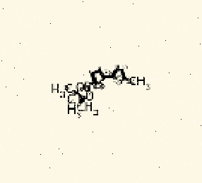 C=C1OB(c2ccc(-c3ccc(C)s3)s2)OC1(C)C